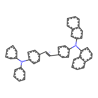 C(=C\c1ccc(N(c2ccc3ccccc3c2)c2cccc3ccccc23)cc1)/c1ccc(N(c2ccccc2)c2ccccc2)cc1